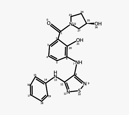 O=C(c1cccc(Nc2nsnc2Nc2ccccc2)c1O)N1CC[C@@H](O)C1